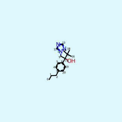 CCCc1ccc(C(O)(Cn2cncn2)C(C)(C)C)cc1